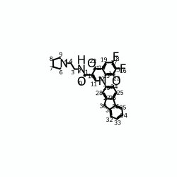 O=C(NCCN1CCCC1)c1cn2c3c(c(F)c(F)cc3c1=O)Oc1cc3c(cc1-2)Cc1ccccc1-3